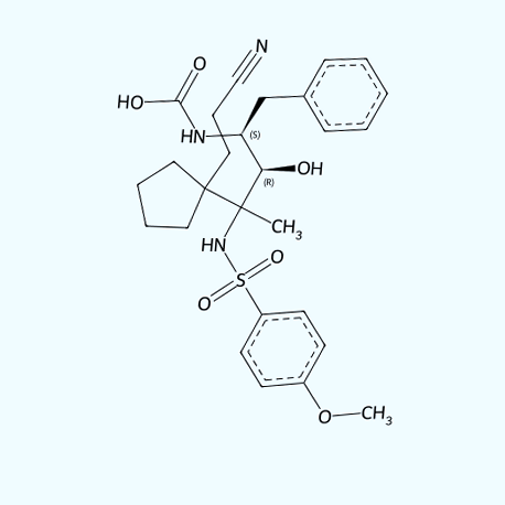 COc1ccc(S(=O)(=O)NC(C)([C@H](O)[C@H](Cc2ccccc2)NC(=O)O)C2(CCC#N)CCCC2)cc1